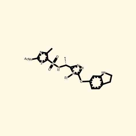 CCn1c(Oc2ccc3c(c2)NCC3)nnc1[C@@H](C)NS(=O)(=O)c1sc(NC(C)=O)nc1C